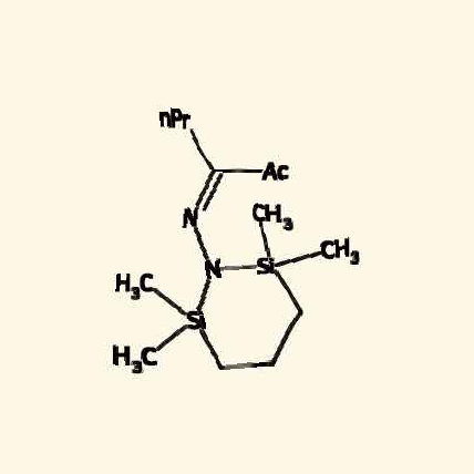 CCCC(=NN1[Si](C)(C)CCC[Si]1(C)C)C(C)=O